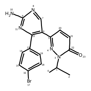 CC(C)n1nc(-c2cnc(N)nc2-c2ccc(Br)cc2)ccc1=O